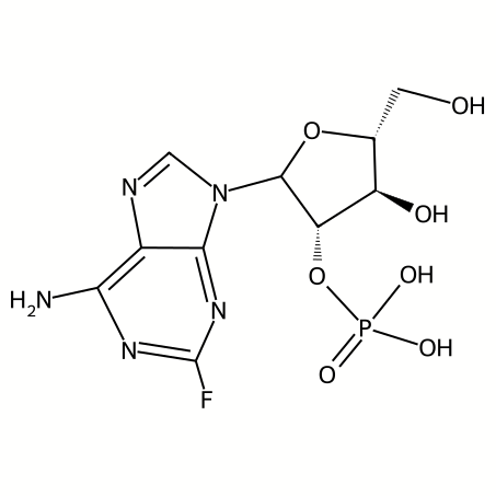 Nc1nc(F)nc2c1ncn2C1O[C@H](CO)[C@@H](O)[C@@H]1OP(=O)(O)O